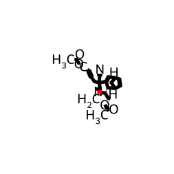 C=CC(COC(C)=O)[C@@H]1C(C(C#N)(C#N)CC#CCOC(C)=O)=C[C@H]2C=C[C@@H]1C2